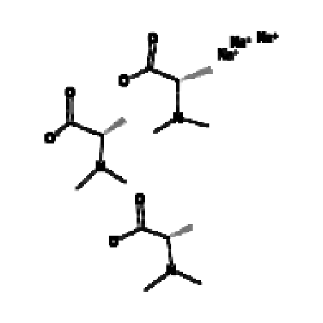 C[C@@H](C(=O)[O-])N(C)C.C[C@@H](C(=O)[O-])N(C)C.C[C@@H](C(=O)[O-])N(C)C.[Na+].[Na+].[Na+]